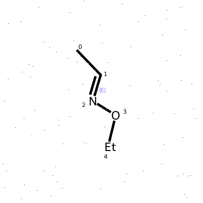 C/C=N/OCC